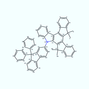 CC1(C)c2ccccc2-c2c1c1c(c3c2c2ccccc2n3-c2ccc3c(c2)C(c2ccccc2)(c2ccccc2)c2ccccc2-3)C(C)(C)c2ccccc2-1